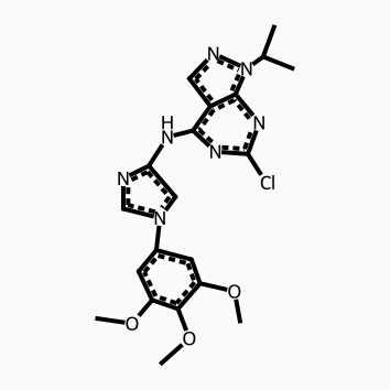 COc1cc(-n2cnc(Nc3nc(Cl)nc4c3cnn4C(C)C)c2)cc(OC)c1OC